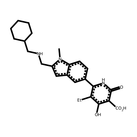 CCc1c(-c2ccc3c(c2)cc(CNCC2CCCCC2)n3C)[nH]c(=O)c(C(=O)O)c1O